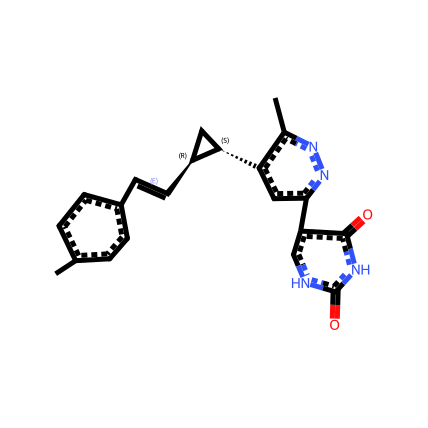 Cc1ccc(/C=C/[C@H]2C[C@@H]2c2cc(-c3c[nH]c(=O)[nH]c3=O)nnc2C)cc1